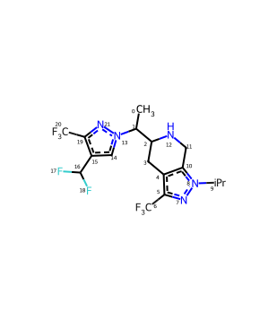 CC(C1Cc2c(C(F)(F)F)nn(C(C)C)c2CN1)n1cc(C(F)F)c(C(F)(F)F)n1